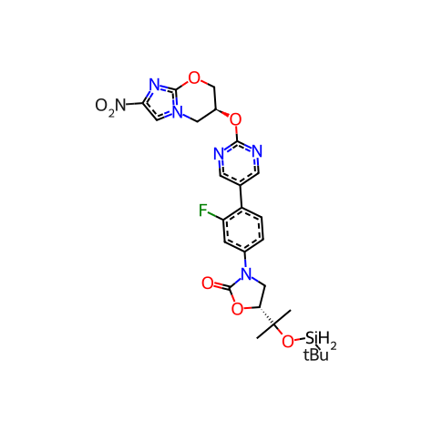 CC(C)(C)[SiH2]OC(C)(C)[C@H]1CN(c2ccc(-c3cnc(O[C@@H]4COc5nc([N+](=O)[O-])cn5C4)nc3)c(F)c2)C(=O)O1